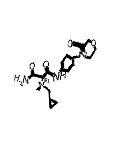 CN(CC1CC1)[C@H](C(N)=O)C(=O)Nc1ccc(N2CCOCC2=O)cc1